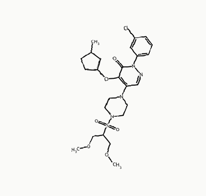 COCC(COC)S(=O)(=O)N1CCN(c2cnn(-c3cccc(Cl)c3)c(=O)c2OC2CCC(C)C2)CC1